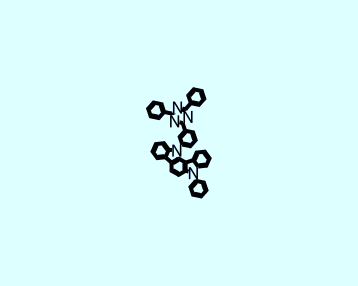 c1ccc(-c2nc(-c3ccccc3)nc(-c3cccc(-n4c5ccccc5c5ccc6c(c7ccccc7n6-c6ccccc6)c54)c3)n2)cc1